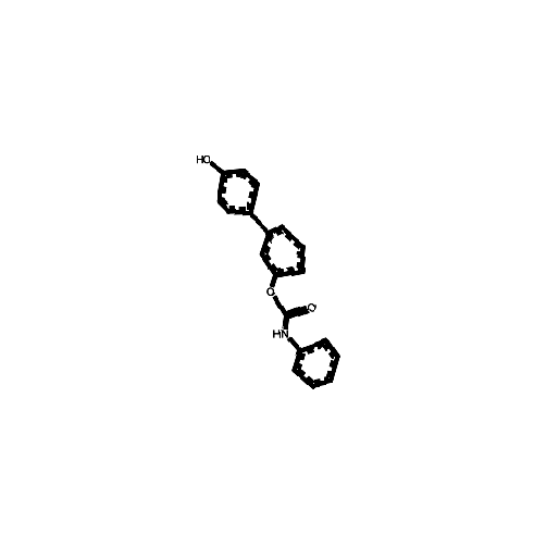 O=C(Nc1ccccc1)Oc1cc[c]c(-c2ccc(O)cc2)c1